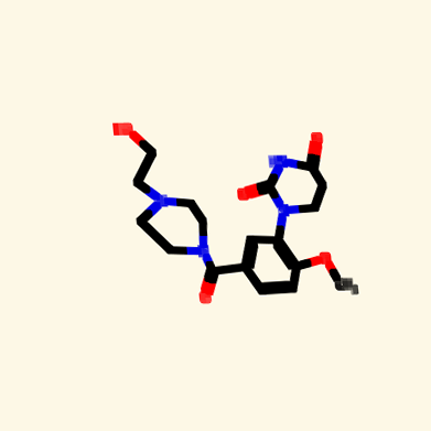 COc1ccc(C(=O)N2CCN(CCO)CC2)cc1N1CCC(=O)NC1=O